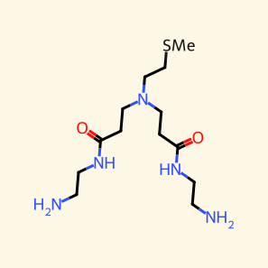 CSCCN(CCC(=O)NCCN)CCC(=O)NCCN